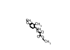 CCOC(=O)C(Cl)=NNc1ccc(OC)cc1C